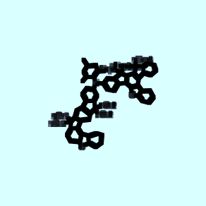 CCCCCCCCC1(CCCCCCCC)c2cc(N(c3ccc4c(c3)C(CCCCCCC)(CCCCCCC)c3c5c(c6c(oc7ccccc76)c3-4)-c3ccccc3C5(CCCCCCC)CCCCCCC)c3c(C)cc(C)cc3C)ccc2-c2cc3c(cc21)-c1c(ccc2oc4ccccc4c12)C3(CCCCCCCC)CCCCCCCC